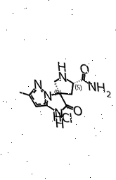 Cc1cc2n(n1)[C@]1(CN[C@H](C(N)=O)C1)C(=O)N2.Cl